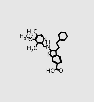 COc1c(C)cnc(CNC2=Nc3cc(C(=O)O)ccc3C2CCC2=CCCCC2)c1C